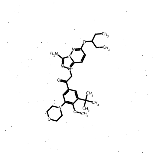 CCC(CC)Oc1ccc2n(n1)c(N)n[n+]2CC(=O)c1cc(N2CCOCC2)c(OC)c(C(C)(C)C)c1